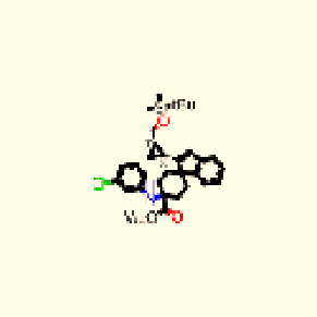 COC(=O)C1(Nc2cccc(Cl)c2)CCC2(CC1)C([C@@H]1C[C@H]1CO[Si](C)(C)C(C)(C)C)=Cc1ccccc12